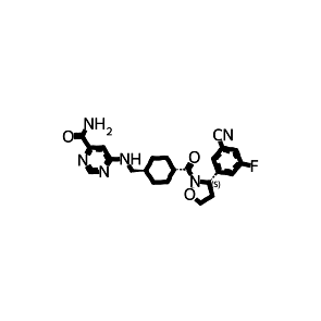 N#Cc1cc(F)cc([C@@H]2CCON2C(=O)[C@H]2CC[C@H](CNc3cc(C(N)=O)ncn3)CC2)c1